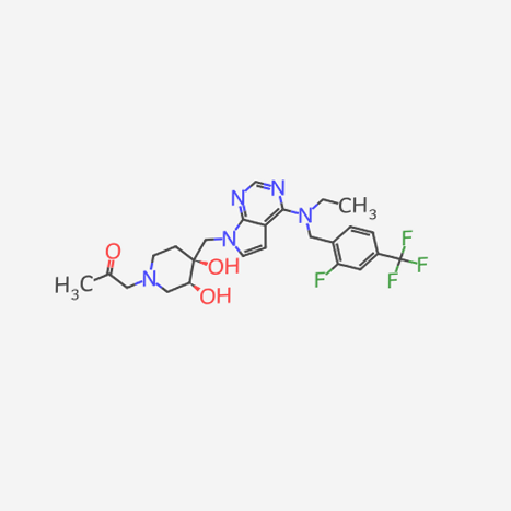 CCN(Cc1ccc(C(F)(F)F)cc1F)c1ncnc2c1ccn2C[C@@]1(O)CCN(CC(C)=O)C[C@@H]1O